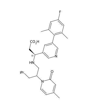 Cc1ccn(C(CN[C@@H](CC(=O)O)c2cncc(-c3c(C)cc(F)cc3C)c2)CC(C)C)c(=O)c1